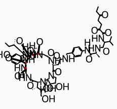 CCC(=O)CCC(=O)C(=O)NC(C(=O)N[C@@H](C)C(=O)Nc1ccc(CNC(=O)C[C@@H]2NC(=O)C3C[S+]([O-])c4[nH]c5cc(O)ccc5c4C[C@H](NC(=O)[C@H]([C@@H](C)[C@@H](O)CO)N[C@@]4(C=O)C[C@@H](O)CN4C2=O)C(=O)NCC(=O)N[C@@H]([C@@H](C)CC)C(=O)NCC(=O)N3)cc1)C(C)C